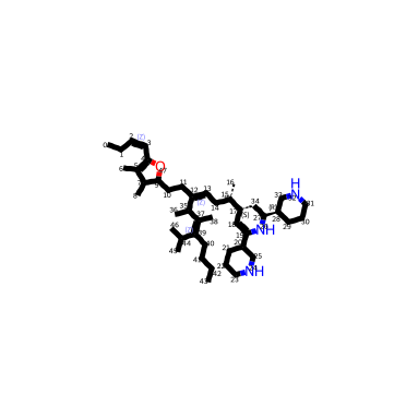 CC/C=C\C1=C(C)C(C)C(CC/C(=C/C[C@H](C)[C@H]2C=C(C3CCCNC3)NC([C@@H]3CCCNC3)C2)C(C)/C(C)=C(/CCCC)C(C)C)O1